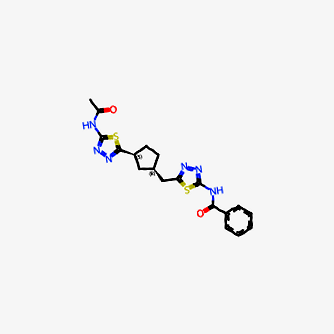 CC(=O)Nc1nnc([C@H]2CC[C@@H](Cc3nnc(NC(=O)c4ccccc4)s3)C2)s1